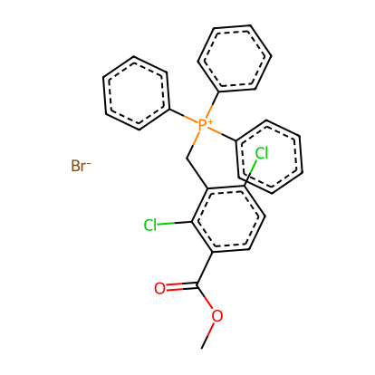 COC(=O)c1ccc(Cl)c(C[P+](c2ccccc2)(c2ccccc2)c2ccccc2)c1Cl.[Br-]